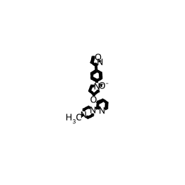 CN1CCN(c2ncccc2OC2CC[N+]([O-])(c3ccc(-c4ccon4)cc3)C2)CC1